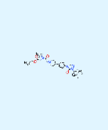 CCOC(=O)CN(C)C(=O)CN1CCC(c2ccc(-n3cnn(C(C)C)c3=O)cc2)CC1